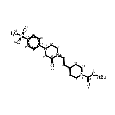 CC(C)(C)OC(=O)N1CCC(CCN2CCN(c3ccc(S(C)(=O)=O)cc3)CC2=O)CC1